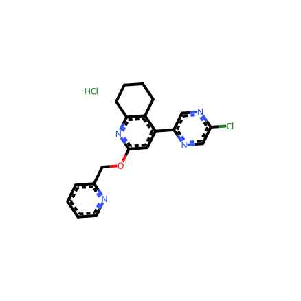 Cl.Clc1cnc(-c2cc(OCc3ccccn3)nc3c2CCCC3)cn1